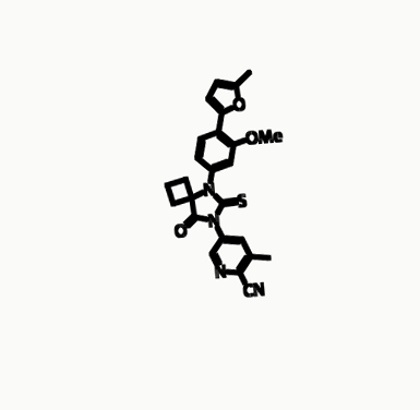 COc1cc(N2C(=S)N(c3cnc(C#N)c(C)c3)C(=O)C23CCC3)ccc1-c1ccc(C)o1